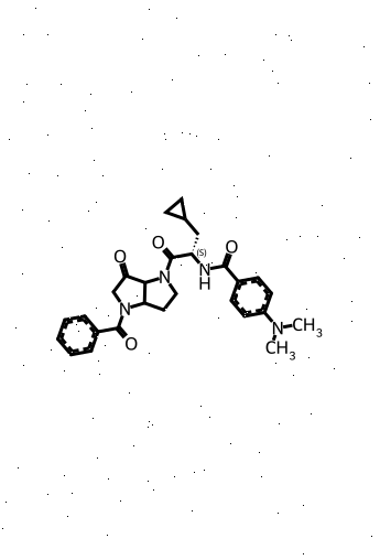 CN(C)c1ccc(C(=O)N[C@@H](CC2CC2)C(=O)N2CCC3C2C(=O)CN3C(=O)c2ccccc2)cc1